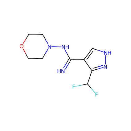 N=C(NN1CCOCC1)c1c[nH]nc1C(F)F